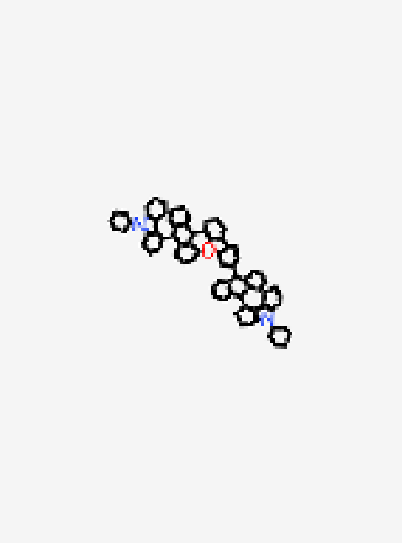 c1ccc(-n2c3ccccc3c3c(-c4c5ccccc5c(-c5ccc6c(c5)oc5c(-c7c8ccccc8c(-c8cccc9c8c8ccccc8n9-c8ccccc8)c8ccccc78)cccc56)c5ccccc45)cccc32)cc1